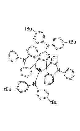 CC(C)(C)c1ccc(N(c2ccc(C(C)(C)C)cc2)c2cc3c(s2)C2(c4ccccc4N(c4ccccc4)c4ccccc42)c2cc(N(c4ccc(C(C)(C)C)cc4)c4ccc(C(C)(C)C)cc4)sc2C32c3ccccc3N(c3ccccc3)c3ccccc32)cc1